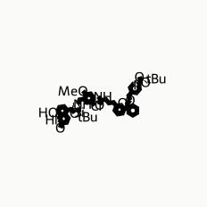 COc1cc(NC(=O)CCCc2cccc(C3(C(=O)OCC4CCN(C(=O)OC(C)(C)C)CC4)CCCCC3)c2)c(Cl)cc1CNC[C@H](O[Si](C)(C)C(C)(C)C)c1ccc(O)c2[nH]c(=O)ccc12